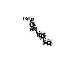 Cc1cc(OCC(C)c2ccccc2)cn2nc(CCNCC3(O)CCN(C(=O)OC(C)(C)C)CC3)nc12